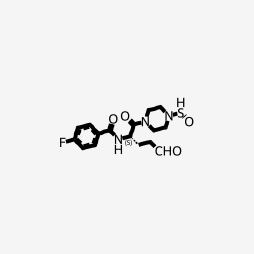 O=CCC[C@H](NC(=O)c1ccc(F)cc1)C(=O)N1CCN([SH]=O)CC1